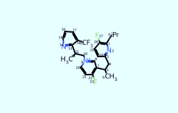 CC(C)c1nc(CC(C)c2c[n+](CC(C)c3ncccc3C(F)(F)F)ccc2F)ccc1F